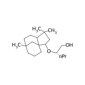 CCC[C@@H](CO)OC1CC(C)(C)C2CCC3(C)CCCC12C3